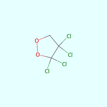 ClC1(Cl)COOC1(Cl)Cl